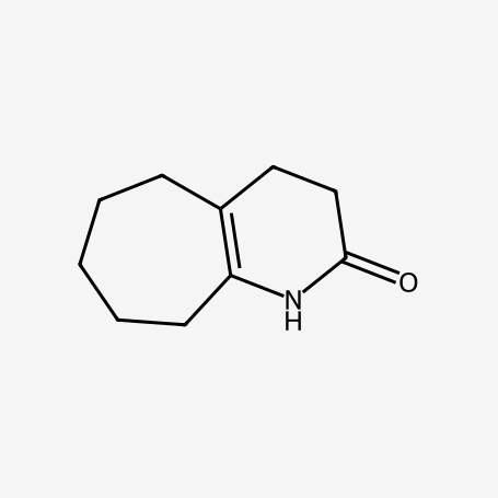 O=C1CCC2=C(CCCCC2)N1